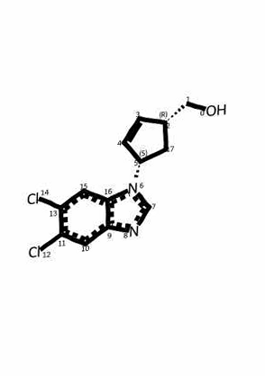 OC[C@H]1C=C[C@@H](n2cnc3cc(Cl)c(Cl)cc32)C1